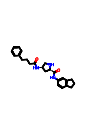 O=C(CCCc1ccccc1)N[C@@H]1CN[C@H](C(=O)Nc2ccc3c(c2)CCC3)C1